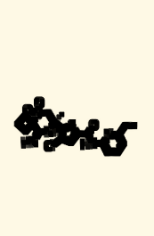 CCc1cccc(NC(=O)c2cc(Cl)c([C@]3(C)CS(=O)(=O)C4(CCC4)C(=N)N3)s2)n1